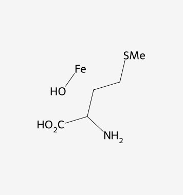 CSCCC(N)C(=O)O.[OH][Fe]